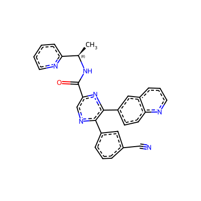 C[C@@H](NC(=O)c1cnc(-c2cccc(C#N)c2)c(-c2ccc3ncccc3c2)n1)c1ccccn1